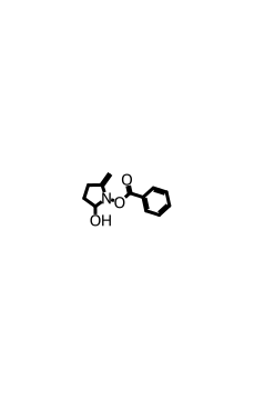 C=C1CCC(O)N1OC(=O)c1ccccc1